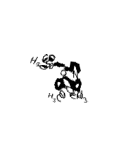 COc1cccc([C@H]2O[C@H](CCCOS(C)(=O)=O)c3cccn3-c3ccc(Cl)cc32)c1OC